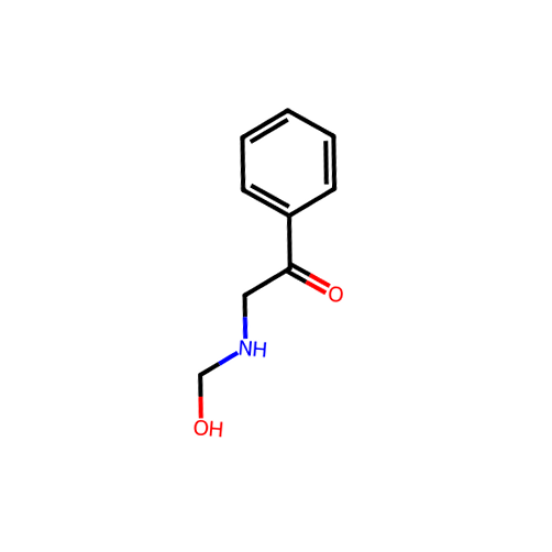 O=C(CNCO)c1ccccc1